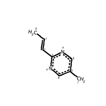 C/C=C/c1ncc(C)cn1